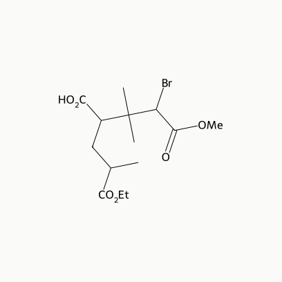 CCOC(=O)C(C)CC(C(=O)O)C(C)(C)C(Br)C(=O)OC